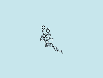 CCc1cc(Nc2cc(Nc3ccnc(-c4ccccc4F)c3)ncn2)c(OC)cc1N1CCC(N2CCN(C)CC2)CC1